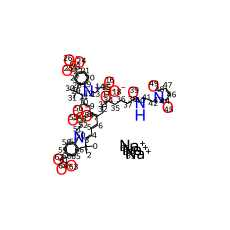 CC1(C)C(=CC=CC(=CC=CC2=[N+](CCS(=O)(=O)[O-])c3ccc(S(=O)(=O)[O-])cc3C2(C)C)CCCCCCC(=O)NCCN2C(=O)C=CC2=O)N(CCS(=O)(=O)[O-])c2ccc(S(=O)(=O)[O-])cc21.[Na+].[Na+].[Na+]